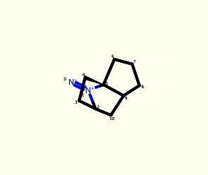 [N-]=[N+]1C2CC[C@]13CCCC3C2